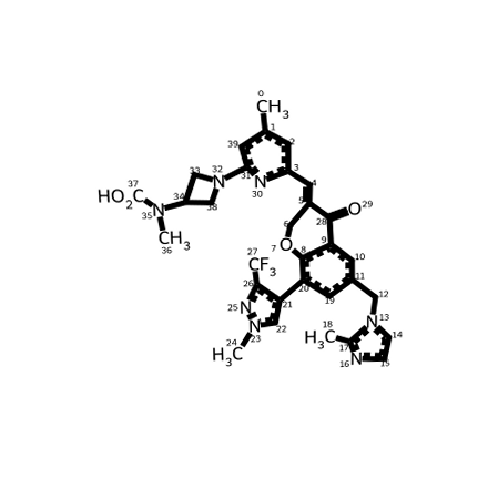 Cc1cc(/C=C2\COc3c(cc(Cn4ccnc4C)cc3-c3cn(C)nc3C(F)(F)F)C2=O)nc(N2CC(N(C)C(=O)O)C2)c1